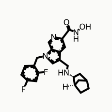 O=C(NO)c1cc2c(CN[C@@H]3CC4CC[C@@H]3C4)cn(Cc3ccc(F)cc3F)c2cn1